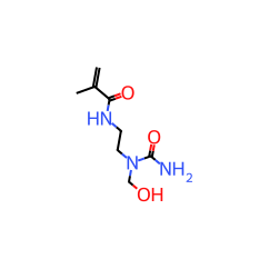 C=C(C)C(=O)NCCN(CO)C(N)=O